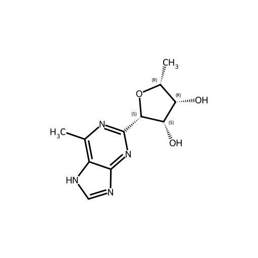 Cc1nc([C@@H]2O[C@H](C)[C@H](O)[C@@H]2O)nc2nc[nH]c12